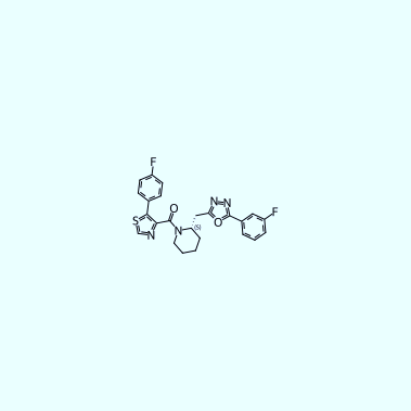 O=C(c1ncsc1-c1ccc(F)cc1)N1CCCC[C@H]1Cc1nnc(-c2cccc(F)c2)o1